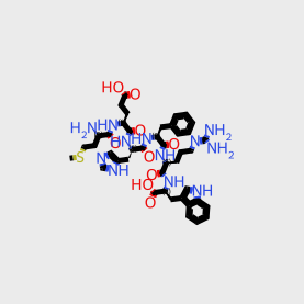 CSCC[C@H](N)C(=O)N[C@@H](CCC(=O)O)C(=O)N[C@@H](Cc1cnc[nH]1)C(=O)N[C@@H](Cc1ccccc1)C(=O)N[C@@H](CCCN=C(N)N)C(=O)N[C@@H](Cc1c[nH]c2ccccc12)C(=O)O